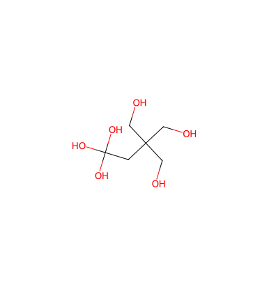 OCC(CO)(CO)CC(O)(O)O